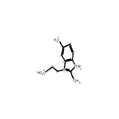 Cc1ccc2oc(C)[n+](CCC(=O)O)c2c1.[Br-]